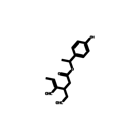 CC=C(C=O)C(CC=O)CC(=O)OC(C)c1ccc(O)cc1